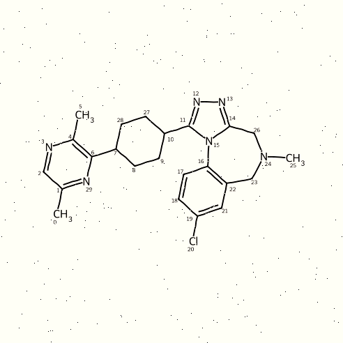 Cc1cnc(C)c(C2CCC(c3nnc4n3-c3ccc(Cl)cc3CN(C)C4)CC2)n1